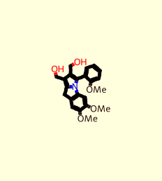 COc1cc2c(cc1OC)-n1c(c(CO)c(CO)c1-c1ccccc1OC)C2